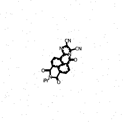 CC(C)N1C(=O)c2ccc3c(=O)n4c(C#N)c(C#N)nc4c4ccc(c2c34)C1=O